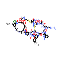 COc1cc2cc(c1Cl)N(C)C(=O)C[C@H](OC(=O)[C@H](C)N(C)C(=O)CCSSC(C)(C)[C@H](NC(=O)[C@@H]1CSSC[C@H](NC(=O)[C@@H](Cc3ccccc3)NC(=O)NCc3ccc(C(F)(F)F)cc3)C(=O)N[C@@H](Cc3ccc(O)cc3)C(=O)N[C@H](Cc3c[nH]c4ccccc34)C(=O)N[C@@H](CCCCN)C(=O)N[C@@H]([C@@H](C)O)C(=O)N1)C(N)=O)[C@]1(C)OC1[C@H](C)[C@@H]1C[C@@](O)(NC(=O)O1)[C@H](OC)/C=C/C=C(\C)C2